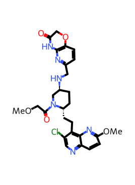 COCC(=O)N1C[C@@H](NCc2ccc3c(n2)NC(=O)CO3)CC[C@@H]1CCc1c(Cl)cnc2ccc(OC)nc12